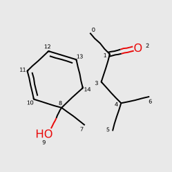 CC(=O)CC(C)C.CC1(O)C=CC=CC1